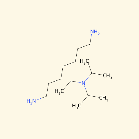 CCN(C(C)C)C(C)C.NCCCCCCCN